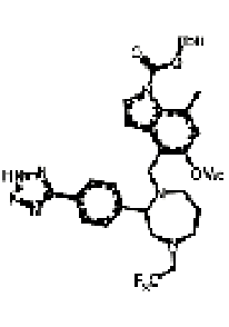 CCCCOC(=O)n1ccc2c(CN3CCCN(CC(F)(F)F)CC3c3ccc(-c4nn[nH]n4)cc3)c(OC)cc(C)c21